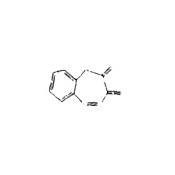 O=C1[CH]c2ccccc2N=NC1=O